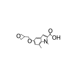 Cc1cc(OCC2COC2)cc2cc(C(=O)O)n(C)c12